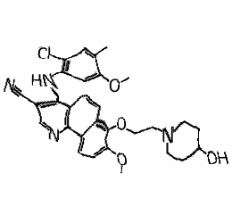 COc1cc(Nc2c(C#N)cnc3c2ccc2c(OCCN4CCC(O)CC4)c(OC)ccc23)c(Cl)cc1C